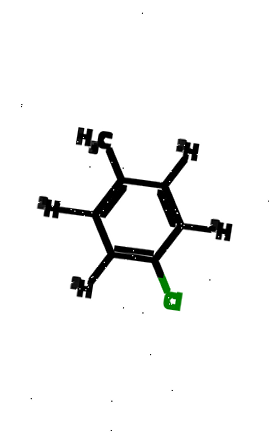 [2H]c1c([2H])c(Cl)c([2H])c([2H])c1C